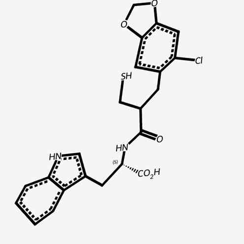 O=C(N[C@@H](Cc1c[nH]c2ccccc12)C(=O)O)C(CS)Cc1cc2c(cc1Cl)OCO2